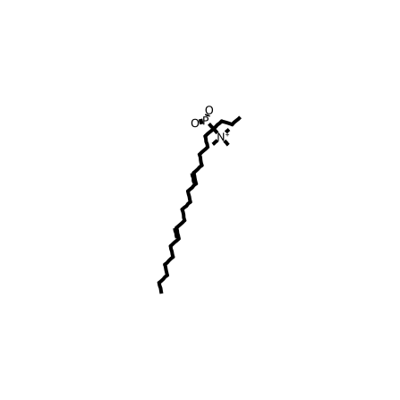 CCCCCCC=CCCCCC=CCCCCC(CCC)(P(=O)=O)[N+](C)(C)C